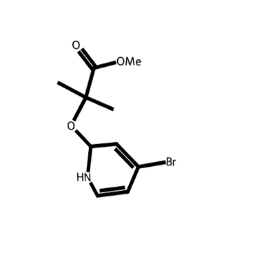 COC(=O)C(C)(C)OC1C=C(Br)C=CN1